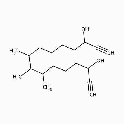 C#CC(O)CCCCC(C)C(C)C(C)CCCC(O)C#C